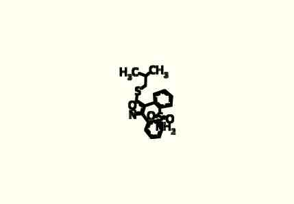 CC(C)CSc1onc(-c2ccccc2)c1-c1ccccc1S(N)(=O)=O